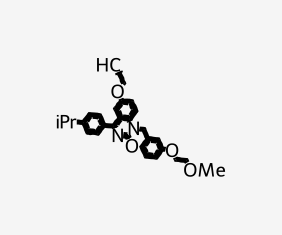 C#CCOc1ccc2c(c1)c(-c1ccc(C(C)C)cc1)nc(=O)n2Cc1cccc(OCCOC)c1